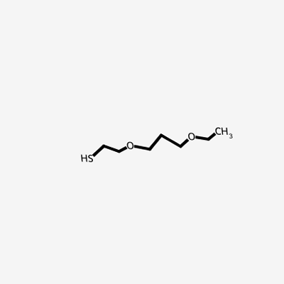 CCOCCCOCCS